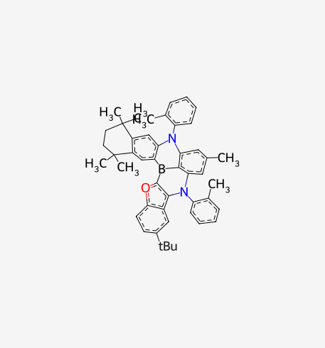 Cc1cc2c3c(c1)N(c1ccccc1C)c1c(oc4ccc(C(C)(C)C)cc14)B3c1cc3c(cc1N2c1ccccc1C)C(C)(C)CCC3(C)C